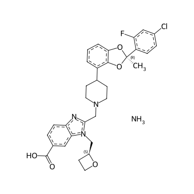 C[C@@]1(c2ccc(Cl)cc2F)Oc2cccc(C3CCN(Cc4nc5ccc(C(=O)O)cc5n4C[C@@H]4CCO4)CC3)c2O1.N